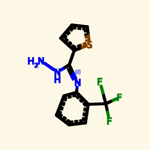 NN/C(=N\c1ccccc1C(F)(F)F)c1cccs1